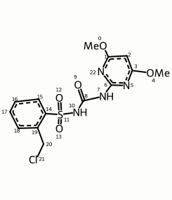 COc1cc(OC)nc(NC(=O)NS(=O)(=O)c2ccccc2CCl)n1